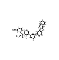 CC1(C)c2cc(C#N)ccc2-c2ccc(-c3cccc(-c4ccc5nc6c7ccccc7sc6n5c4)c3)cc21